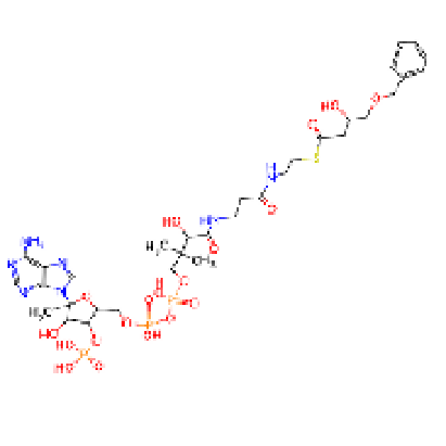 CC(C)(COP(=O)(O)OP(=O)(O)OCC1OC(C)(n2cnc3c(N)ncnc32)C(O)C1OP(=O)(O)O)C(O)C(=O)NCCC(=O)NCCSC(=O)CC(O)COCc1ccccc1